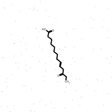 CCC(=O)C/C=C/CCCCCCCC(=O)O